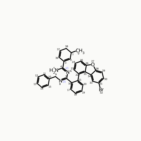 CC1C=C(/C(N)=N/C(=N\Cc2ccccc2)c2ccccc2-c2cccc3oc4ccc(Br)cc4c23)C=CC1